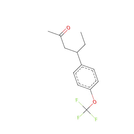 CCC(CC(C)=O)c1ccc(OC(F)(F)F)cc1